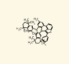 Cc1cc2c3c(c1)N(c1cc4c(cc1C)C(C)(C)CCC4(C)C)c1cc4c(cc1B3c1c(-c3ccccc3)sc3cccc-2c13)C(C)(C)CCC4(C)C